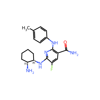 Cc1ccc(Nc2nc(N[C@@H]3CCCC[C@@H]3N)c(F)cc2C(N)=O)cc1